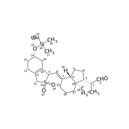 CC(C=O)[C@H]1CC[C@H]2C(=CC3C4=C(CC[C@H](O[Si](C)(C)C(C)(C)C)C4)CS3(=O)=O)CCC[C@]12C